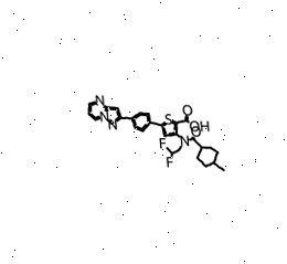 CC1CCC(C(=O)N(CC(F)F)c2cc(-c3ccc(-c4cc5ncccn5n4)cc3)sc2C(=O)O)CC1